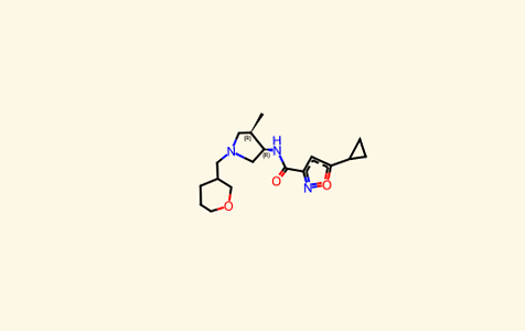 C[C@@H]1CN(CC2CCCOC2)C[C@@H]1NC(=O)c1cc(C2CC2)on1